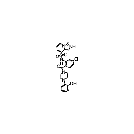 O=C(c1ccc(Cl)cc1NS(=O)(=O)C1=CC=CN2SNC=C12)N1CCN(c2ccccc2O)CC1